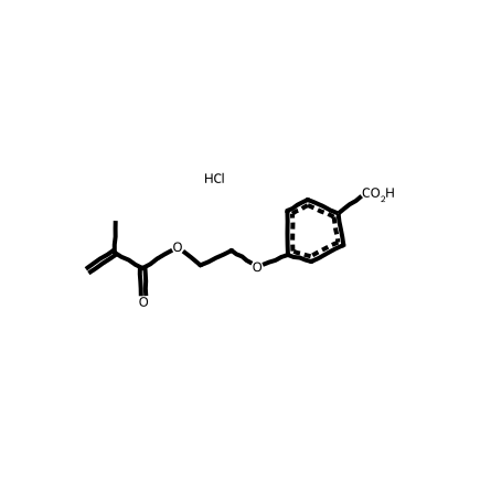 C=C(C)C(=O)OCCOc1ccc(C(=O)O)cc1.Cl